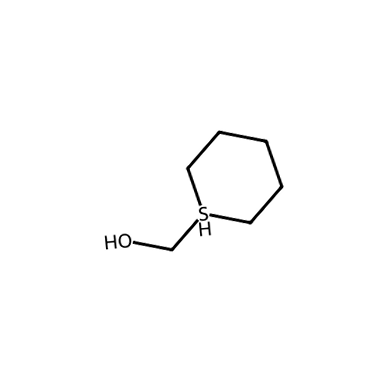 OC[SH]1CCCCC1